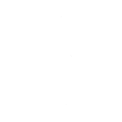 CCCCCCCCc1ccc(-c2ccc(-c3ccc(CCCCCCC)cc3)cn2)c(F)c1